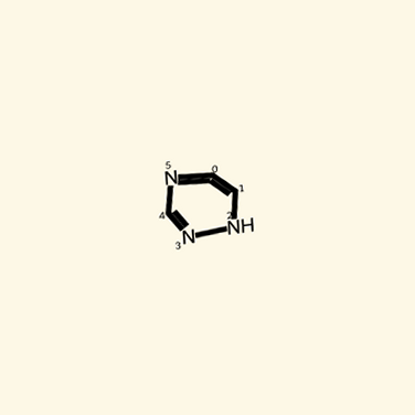 C1=CNN=CN=1